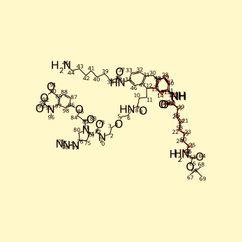 CN(CCOCCNC(=O)CCC12c3cc(NC(=O)CCCCCCCN)ccc3C(c3ccc(NC(=O)CCCCCCCN)cc31)c1ccc(NC(=O)CCCCCCCNC(=O)OC(C)(C)C)cc12)C(=O)[C@@H]1CC(N=[N+]=[N-])CN1C(=O)COc1ccc2c(=O)oc(=O)n(C)c2c1